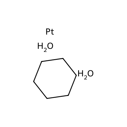 C1CCCCC1.O.O.[Pt]